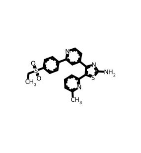 CCS(=O)(=O)c1ccc(-c2cc(-c3nc(N)sc3-c3cccc(C)n3)ccn2)cc1